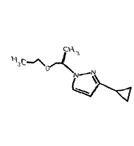 CCOC(C)n1ccc(C2CC2)n1